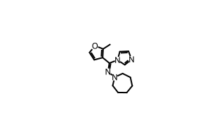 Cc1occc1C(=NN1CCCCCC1)n1ccnc1